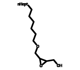 CCCCCCCCCCCCCOCC1OC1CO